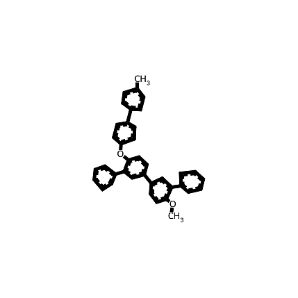 COc1ccc(-c2ccc(Oc3ccc(-c4ccc(C)cc4)cc3)c(-c3ccccc3)c2)cc1-c1ccccc1